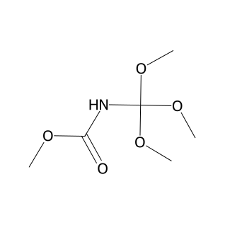 COC(=O)NC(OC)(OC)OC